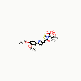 COc1ccc(-c2ccc(/C=C3\SC(=S)N([C@H](C(=O)O)C(C)C)C3=O)cn2)cc1OC